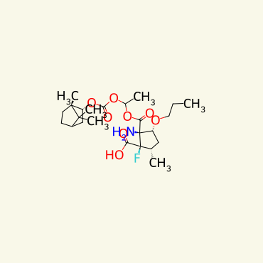 CCCO[C@@H]1C[C@H](C)[C@](F)(C(=O)O)[C@]1(N)C(=O)OC(C)OC(=O)O[C@@H]1CC2CC[C@@]1(C)C2(C)C